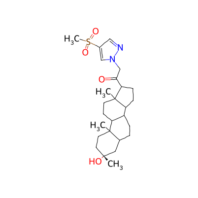 CC12CC[C@@](C)(O)CC1CCC1C2CCC2(C)C(C(=O)Cn3cc(S(C)(=O)=O)cn3)CCC12